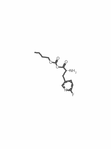 CCCCOC(=O)OC(=O)[C@H](N)Cc1ccc(F)nc1